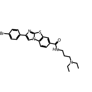 CCN(CC)CCCNC(=O)c1ccc2c(c1)sc1nc(-c3ccc(Br)cc3)cn12